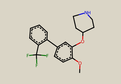 COc1ccc(-c2ccccc2C(F)(F)F)cc1OC1CCNCC1